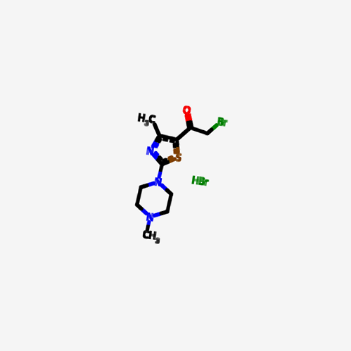 Br.Cc1nc(N2CCN(C)CC2)sc1C(=O)CBr